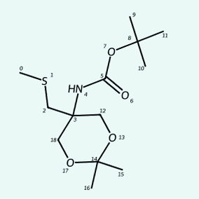 CSCC1(NC(=O)OC(C)(C)C)COC(C)(C)OC1